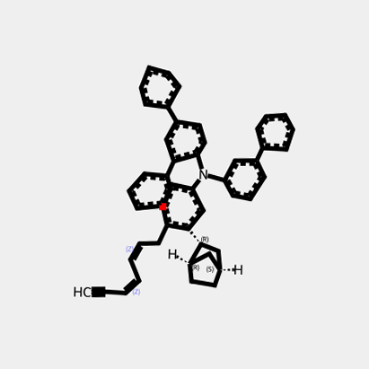 C#C/C=C\C=C/Cc1ccc(N(c2cccc(-c3ccccc3)c2)c2ccc(-c3ccccc3)cc2-c2ccccc2)cc1[C@@H]1C[C@H]2CC[C@@H]1C2